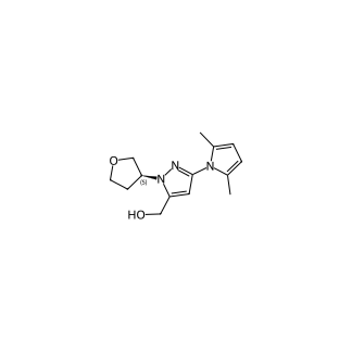 Cc1ccc(C)n1-c1cc(CO)n([C@H]2CCOC2)n1